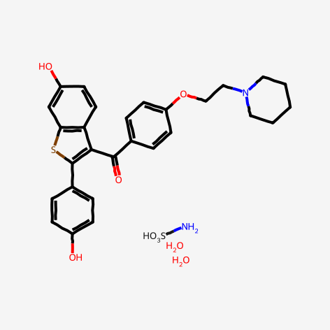 NS(=O)(=O)O.O.O.O=C(c1ccc(OCCN2CCCCC2)cc1)c1c(-c2ccc(O)cc2)sc2cc(O)ccc12